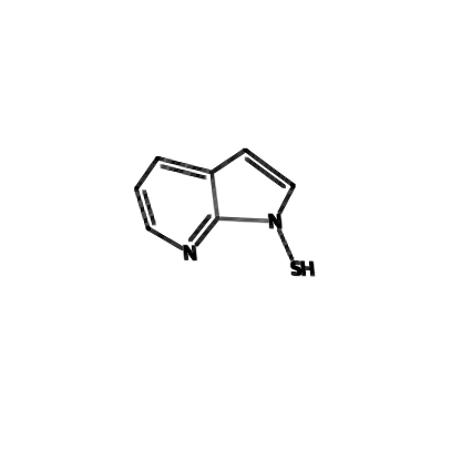 Sn1ccc2cccnc21